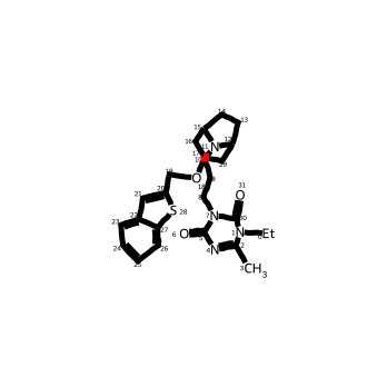 CCn1c(C)nc(=O)n(CCCN2C3CCC2CC(OCc2cc4ccccc4s2)C3)c1=O